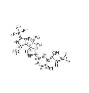 Cn1nc(C(F)(F)F)cc1[C@@]1(C(F)(F)F)CC(c2ccc(Cl)c(C(O)NC3CC3)c2)=NO1